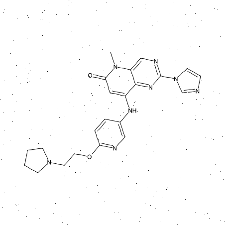 Cn1c(=O)cc(Nc2ccc(OCCN3CCCC3)nc2)c2nc(-n3ccnc3)ncc21